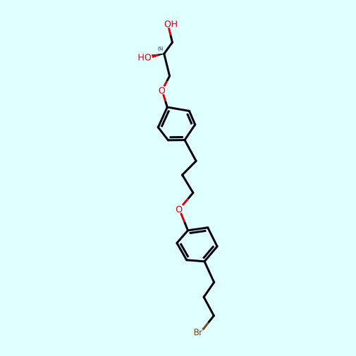 OC[C@H](O)COc1ccc(CCCOc2ccc(CCCBr)cc2)cc1